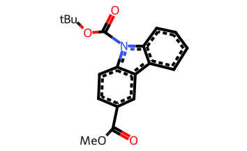 COC(=O)c1ccc2c(c1)c1ccccc1n2C(=O)OC(C)(C)C